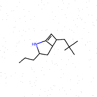 CCCC1CC2C(=CC2CC(C)(C)C)N1